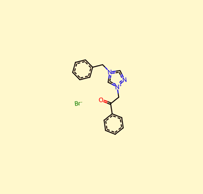 O=C(C[n+]1cn(Cc2ccccc2)cn1)c1ccccc1.[Br-]